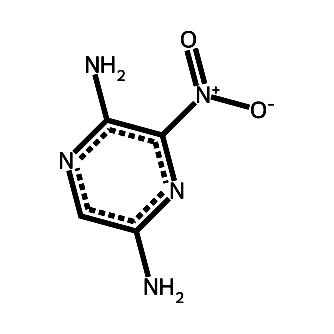 Nc1cnc(N)c([N+](=O)[O-])n1